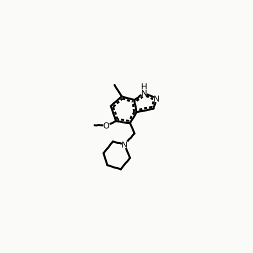 COc1cc(C)c2[nH]ncc2c1CN1CCCCC1